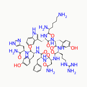 N=C(N)NCCC[C@H](NC(=O)[C@@H](Cc1ccc(O)cc1)NC(=O)[C@H](Cc1c[nH]c2ccccc12)NC(=O)[C@@H](N)CCCCN)C(=O)N[C@@H](CC(N)=O)C(=O)N[C@@H](Cc1ccccc1)C(=O)N[C@@H](Cc1ccc(O)cc1)C(=O)N[C@H](Cc1c[nH]cn1)C(N)=O